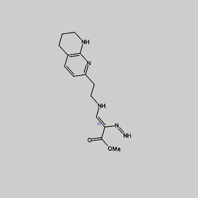 COC(=O)/C(=C/NCCc1ccc2c(n1)NCCC2)N=N